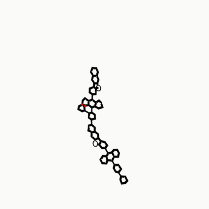 c1ccc(-c2ccc(-c3c4ccccc4c(-c4ccc5c(c4)oc4cc6ccc(-c7ccc(-c8c9ccccc9c(-c9ccc%10c(c9)oc9cc%11ccccc%11cc9%10)c9ccccc89)c(-c8ccccc8)c7)cc6cc45)c4ccccc34)cc2)cc1